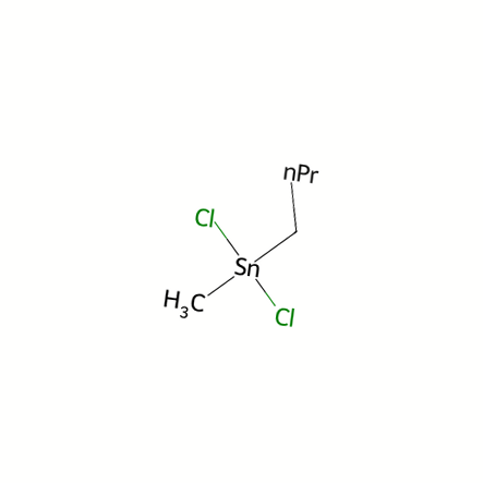 CCC[CH2][Sn]([CH3])([Cl])[Cl]